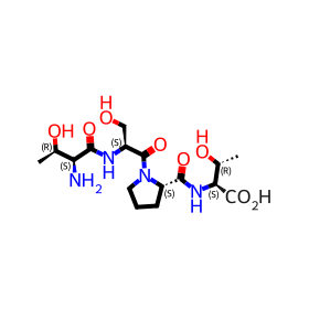 C[C@@H](O)[C@H](N)C(=O)N[C@@H](CO)C(=O)N1CCC[C@H]1C(=O)N[C@H](C(=O)O)[C@@H](C)O